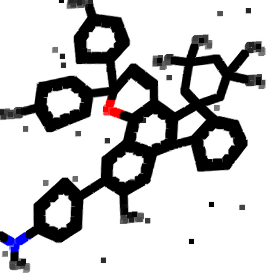 COc1ccc(C2(c3ccc(OC)cc3)C=Cc3c4c(c5cc(SC)c(-c6ccc(N(C)C)cc6)cc5c3O2)-c2ccccc2C42CC(C)(C)CC(C)(C)C2)cc1